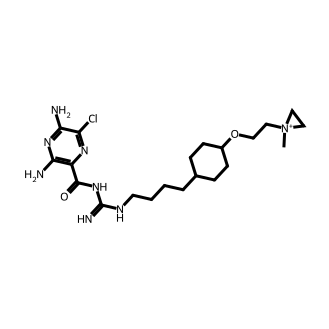 C[N+]1(CCOC2CCC(CCCCNC(=N)NC(=O)c3nc(Cl)c(N)nc3N)CC2)CC1